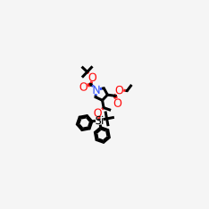 CCOC(=O)C1CN(C(=O)OC(C)(C)C)CC1C(C)O[Si](c1ccccc1)(c1ccccc1)C(C)(C)C